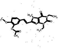 CCn1c(=O)c2c(nc(/C=C/c3ccc(OC)c(OC(C)=O)c3)n2C)n(CC)c1=O